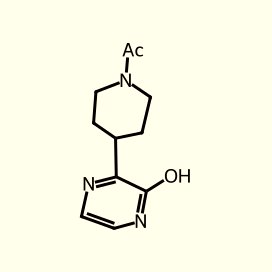 CC(=O)N1CCC(c2nccnc2O)CC1